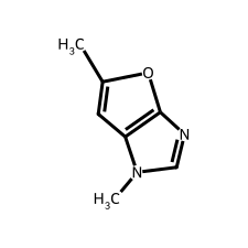 Cc1cc2c(ncn2C)o1